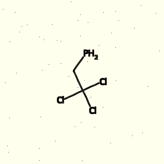 PCC(Cl)(Cl)Cl